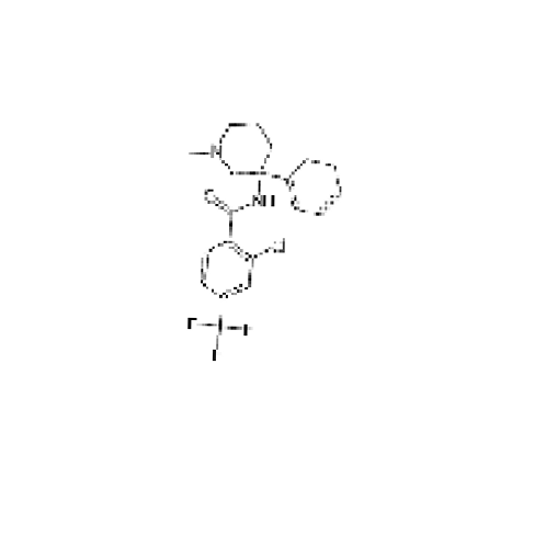 CN1CCCC(NC(=O)c2ccc(C(F)(F)F)cc2Cl)(C2=CC=CCC2)C1